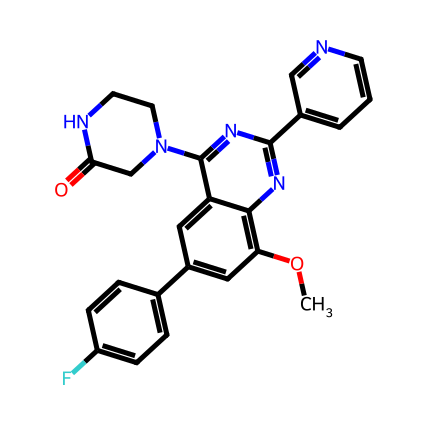 COc1cc(-c2ccc(F)cc2)cc2c(N3CCNC(=O)C3)nc(-c3cccnc3)nc12